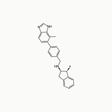 Cc1c(-c2ccc(CN[C@@H]3Cc4ccccc4[C@@H]3F)cc2)ccc2nc[nH]c12